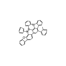 Cc1ccccc1-c1cc2c3c4c1c1ccccc1n4-c1ccccc1B3N(c1ccccc1)c1c-2ccc2c1oc1ccccc12